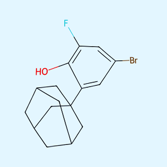 Oc1c(F)cc(Br)cc1C12CC3CC(CC(C3)C1)C2